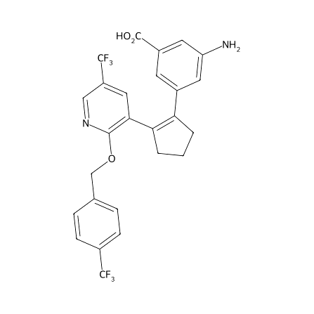 Nc1cc(C(=O)O)cc(C2=C(c3cc(C(F)(F)F)cnc3OCc3ccc(C(F)(F)F)cc3)CCC2)c1